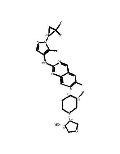 Cc1cc2cnc(Nc3cnn([C@H]4CC4(F)F)c3C)nc2cc1[C@H]1CCN([C@@H]2COC[C@@H]2O)C[C@@H]1F